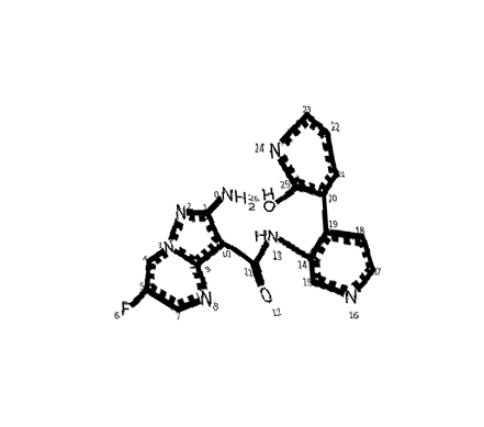 Nc1nn2cc(F)cnc2c1C(=O)Nc1cnccc1-c1cccnc1O